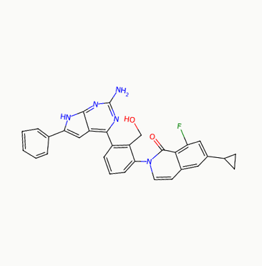 Nc1nc(-c2cccc(-n3ccc4cc(C5CC5)cc(F)c4c3=O)c2CO)c2cc(-c3ccccc3)[nH]c2n1